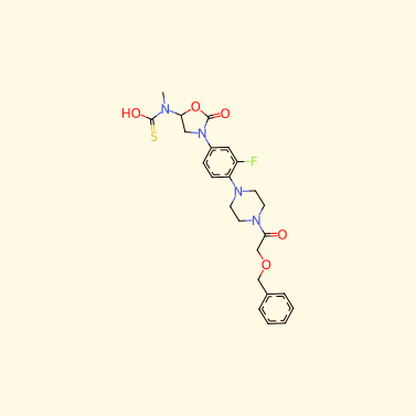 CN(C(O)=S)C1CN(c2ccc(N3CCN(C(=O)COCc4ccccc4)CC3)c(F)c2)C(=O)O1